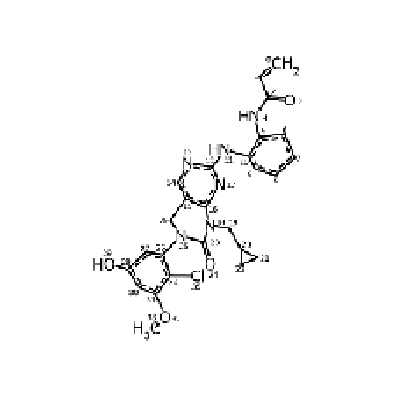 C=CC(=O)Nc1ccccc1Nc1ncc2c(n1)N(CC1CC1)C(=O)N(c1cc(O)cc(OC)c1Cl)C2